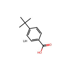 CC(C)(C)c1ccc(C(=O)O)cc1.[LiH]